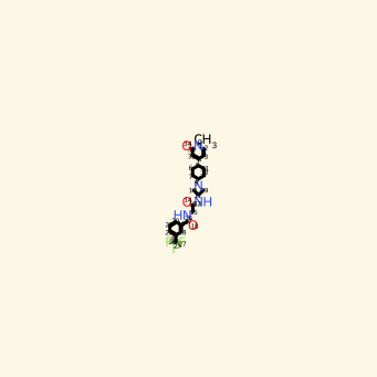 Cn1ccc([C@H]2CC[C@@H](N3CC(NC(=O)CNC(=O)c4cccc(C(F)(F)F)c4)C3)CC2)cc1=O